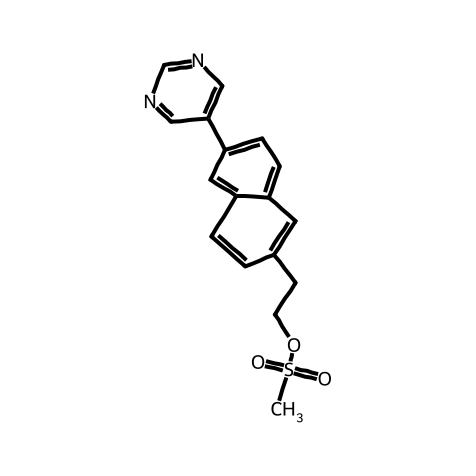 CS(=O)(=O)OCCc1ccc2cc(-c3cncnc3)ccc2c1